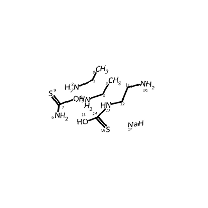 CCN.CCN.NC(O)=S.NCCNC(O)=S.[NaH]